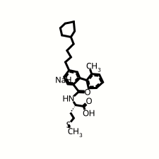 CSCC[C@H](NC(=O)c1ccc(CCCCC2CCCCC2)cc1-c1ccccc1C)C(=O)O.[NaH]